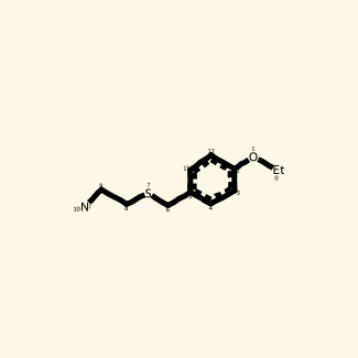 CCOc1ccc(CSCC[N])cc1